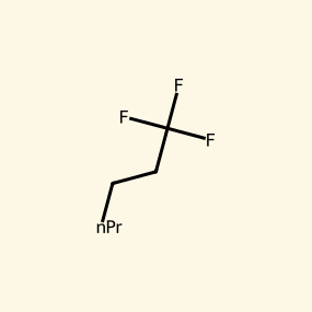 C[CH]CCCC(F)(F)F